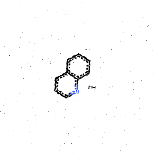 [HH].c1ccc2ncccc2c1